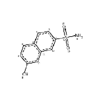 N#Cc1ccc2ccc(S(N)(=O)=O)cc2c1